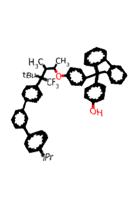 CC(C)c1ccc(-c2cccc(-c3ccc(C(C(C)C(C)Oc4ccc(C5(c6ccc(O)cc6)c6ccccc6-c6ccccc65)cc4)(C(C)(C)C)C(F)(F)F)cc3)c2)cc1